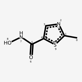 Cc1ncc(C(=O)NO)s1